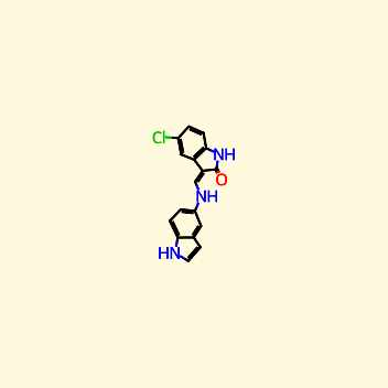 O=C1Nc2ccc(Cl)cc2C1=CNc1ccc2[nH]ccc2c1